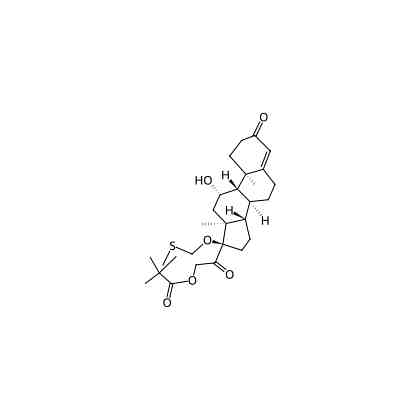 CSCO[C@]1(C(=O)COC(=O)C(C)(C)C)CC[C@H]2[C@@H]3CCC4=CC(=O)CC[C@]4(C)[C@H]3[C@@H](O)C[C@@]21C